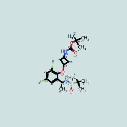 C[C@H](N[S@+]([O-])C(C)(C)C)c1cc(F)cc(F)c1OC1CC(NC(=O)OC(C)(C)C)C1